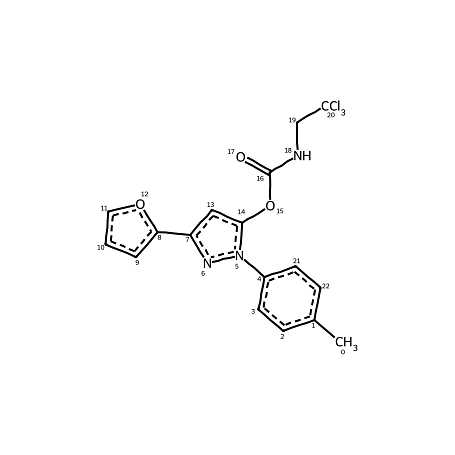 Cc1ccc(-n2nc(-c3ccco3)cc2OC(=O)NCC(Cl)(Cl)Cl)cc1